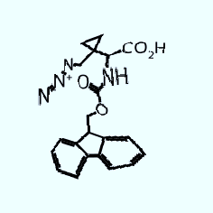 [N-]=[N+]=NCC1([C@H](NC(=O)OCC2c3ccccc3-c3ccccc32)C(=O)O)CC1